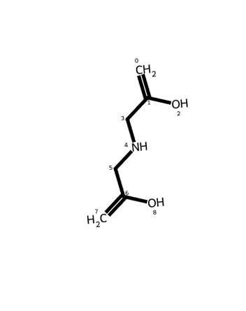 C=C(O)CNCC(=C)O